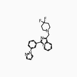 FC1(F)CCN(Cc2nc(-c3cccc(-n4cccn4)c3)n3ccccc23)CC1